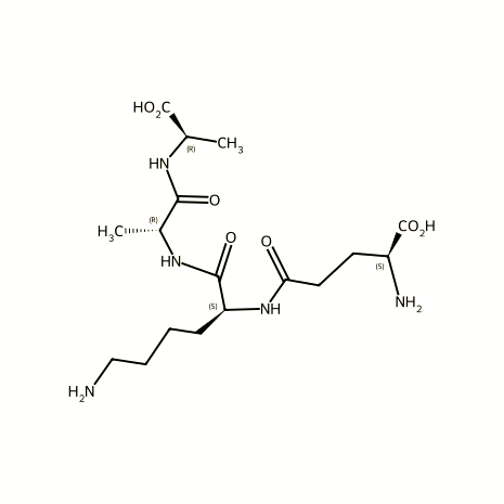 C[C@@H](NC(=O)[C@@H](C)NC(=O)[C@H](CCCCN)NC(=O)CC[C@H](N)C(=O)O)C(=O)O